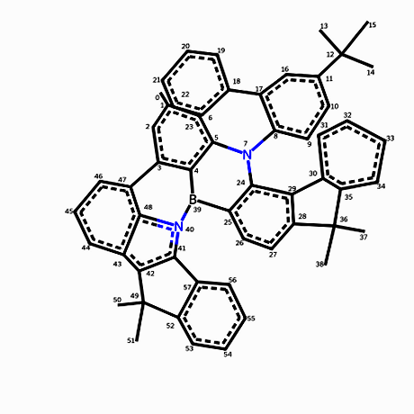 Cc1cc2c3c(c1)N(c1ccc(C(C)(C)C)cc1-c1ccccc1)c1c(ccc4c1-c1ccccc1C4(C)C)B3n1c3c(c4cccc-2c41)C(C)(C)c1ccccc1-3